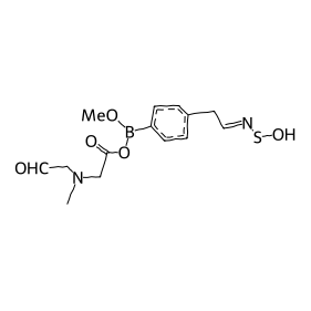 COB(OC(=O)CN(C)CC=O)c1ccc(C/C=N/SO)cc1